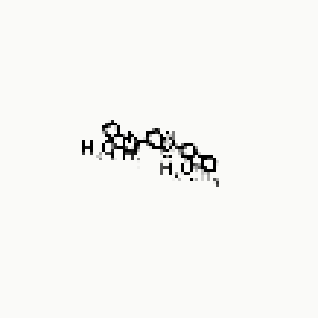 CC1(C)c2ccccc2-c2ccc(-c3nc4ccc(-c5ccc6c(n5)-c5ccccc5C6(C)C)cc4o3)cc21